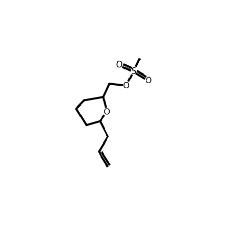 C=CCC1CCCC(COS(C)(=O)=O)O1